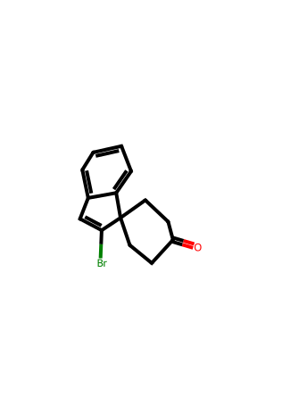 O=C1CCC2(CC1)C(Br)=Cc1ccccc12